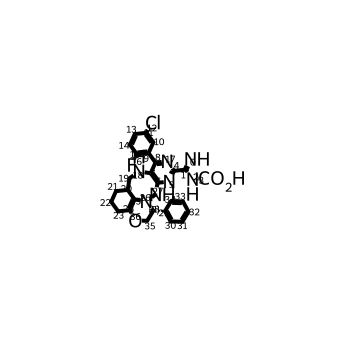 N=C(NC(=O)O)c1nc2c(c(-c3cc(Cl)ccc3F)n1)NCC1CCCC3=C1N(N2)[C@H](c1ccccc1)CO3